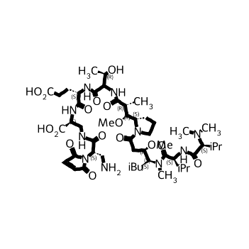 CC[C@H](C)[C@@H]([C@@H](CC(=O)N1CCC[C@H]1[C@H](OC)[C@@H](C)C(=O)NC(C(=O)N[C@@H](CCC(=O)O)C(=O)N[C@@H](CNC(=O)[C@H](CN)N1C(=O)C=CC1=O)C(=O)O)[C@@H](C)O)OC)N(C)C(=O)[C@@H](NC(=O)[C@H](C(C)C)N(C)C)C(C)C